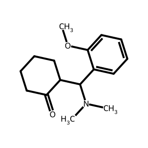 COc1ccccc1C(C1CCCCC1=O)N(C)C